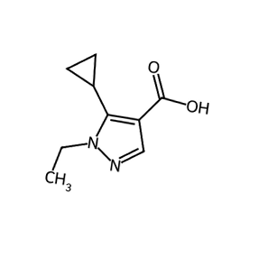 CCn1ncc(C(=O)O)c1C1CC1